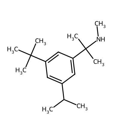 CNC(C)(C)c1cc(C(C)C)cc(C(C)(C)C)c1